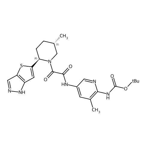 Cc1cc(NC(=O)C(=O)N2C[C@@H](C)CC[C@@H]2c2cc3[nH]ncc3s2)cnc1NC(=O)OC(C)(C)C